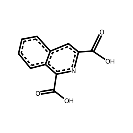 O=C(O)c1cc2ccccc2c(C(=O)O)n1